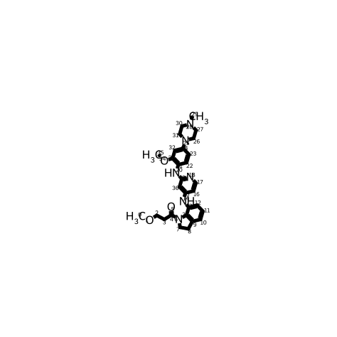 COCCC(=O)N1CCc2cccc(Nc3ccnc(Nc4ccc(N5CCN(C)CC5)cc4OC)c3)c21